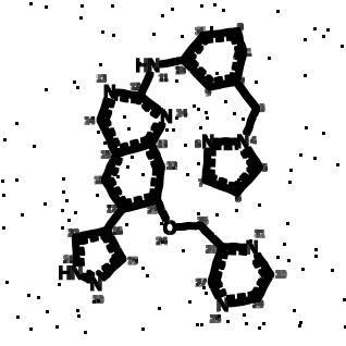 c1cc(Cn2cccn2)cc(Nc2ncc3cc(-c4cn[nH]c4)c(OCc4cnccn4)cc3n2)c1